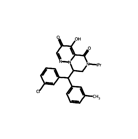 Cc1cccc(C(c2cccc(Cl)c2)C2CN(C(C)C)C(=O)c3c(O)c(=O)cnn32)c1